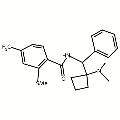 CSc1cc(C(F)(F)F)ccc1C(=O)NC(c1ccccc1)C1(N(C)C)CCC1